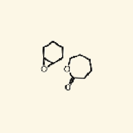 C1CCC2OC2C1.O=C1CCCCCO1